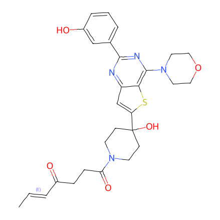 C/C=C/C(=O)CCC(=O)N1CCC(O)(c2cc3nc(-c4cccc(O)c4)nc(N4CCOCC4)c3s2)CC1